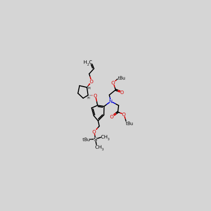 C=CCO[C@@H]1CCC[C@H]1Oc1ccc(CO[Si](C)(C)C(C)(C)C)cc1N(CC(=O)OC(C)(C)C)CC(=O)OC(C)(C)C